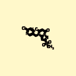 Cc1cc(=O)n2nc(S(C)(=O)=O)cc2n1Cc1ccc(Cl)nc1